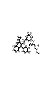 CCCCNC(=O)C[C@H]1C[C@@H](/C=C/c2c(C3CC3)nc3ccccc3c2-c2ccc(F)cc2)OC(C)(C)O1